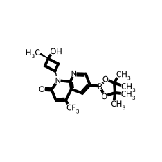 CC1(C)OB(c2cnc3c(c2)c(C(F)(F)F)cc(=O)n3[C@H]2C[C@@](C)(O)C2)OC1(C)C